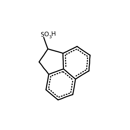 O=S(=O)(O)C1Cc2cccc3cccc1c23